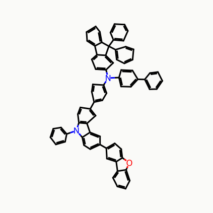 c1ccc(-c2ccc(N(c3ccc(-c4ccc5c(c4)c4cc(-c6ccc7oc8ccccc8c7c6)ccc4n5-c4ccccc4)cc3)c3ccc4c(c3)C(c3ccccc3)(c3ccccc3)c3ccccc3-4)cc2)cc1